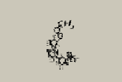 CCOC(=O)CC1CCN(c2cccc(-c3cccc([N+](=O)[O-])c3)n2)CC1